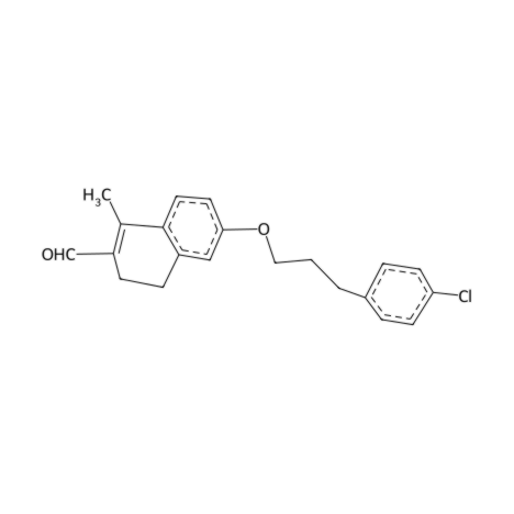 CC1=C(C=O)CCc2cc(OCCCc3ccc(Cl)cc3)ccc21